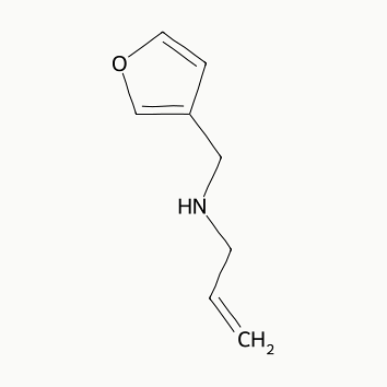 C=CCNCc1ccoc1